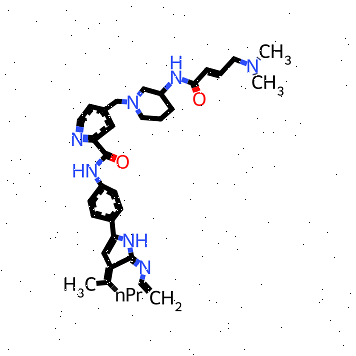 C=C/N=C1/NC(c2ccc(NC(=O)c3cc(CN4CCCC(NC(=O)/C=C/CN(C)C)C4)ccn3)cc2)=C/C1=C(\C)CCC